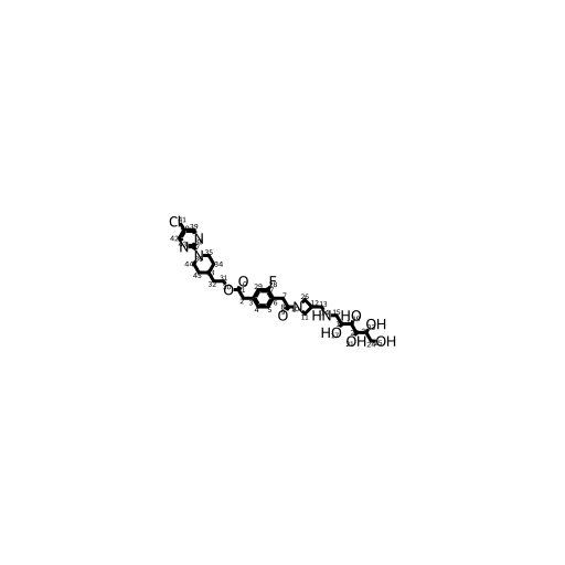 O=C(Cc1ccc(CC(=O)N2CC(CNCC(O)C(O)C(O)C(O)CO)C2)c(F)c1)OCCC1CCN(c2ncc(Cl)cn2)CC1